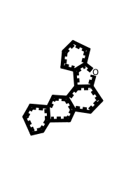 c1ccc2cc3c(ccc4oc5ccccc5c43)cc2c1